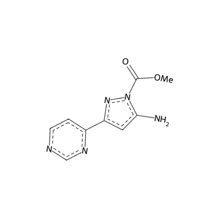 COC(=O)n1nc(-c2ccncn2)cc1N